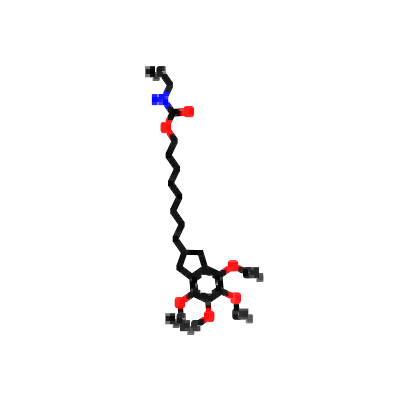 CCNC(=O)OCCCCCCCCC1Cc2c(c(OC)c(OC)c(OC)c2OC)C1